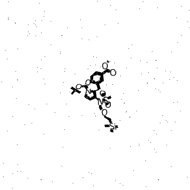 COC(=O)c1cccc(C[C@H]2[C@@H](N(COCC[Si](C)(C)C)S(C)(=O)=O)CCN2C(=O)OC(C)(C)C)c1